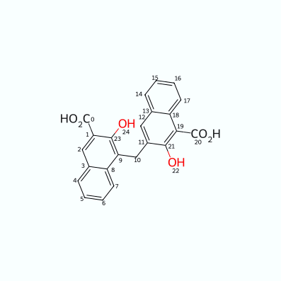 O=C(O)c1cc2ccccc2c(Cc2cc3ccccc3c(C(=O)O)c2O)c1O